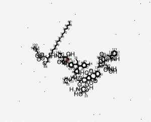 CC(=O)[C@]1(O)Cc2c(O)c3c(c(O)c2[C@@H](O[C@H]2C[C@H](N)[C@H](O)[C@H](C)O2)C1)C(=O)c1ccccc1C3=O.CC/C(=C(\c1ccc(I)cc1)c1ccc(OCCN2CCCC2)cc1)c1ccccc1.CCCCCCCCCCCCCCCCSCC(COC)COP(=O)([O-])OCC[N+](C)(C)C.CNC(=O)[C@H](Cc1c[nH]c2ccccc12)NC(=O)[C@@H](CC(=O)NO)CC(C)C.O=C1C2CC3CC1CC(O)(C3)C2.c1c[nH]cn1